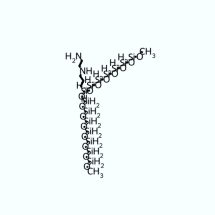 CO[SiH2]O[SiH2]O[SiH2]O[SiH2]O[SiH2]O[SiH2]O[SiH2]O[SiH](CCCNCCN)O[SiH2]O[SiH2]O[SiH2]O[SiH2]O[SiH2]O[SiH2]OC